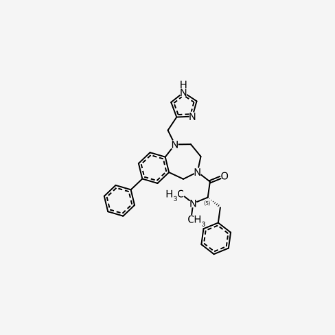 CN(C)[C@@H](Cc1ccccc1)C(=O)N1CCN(Cc2c[nH]cn2)c2ccc(-c3ccccc3)cc2C1